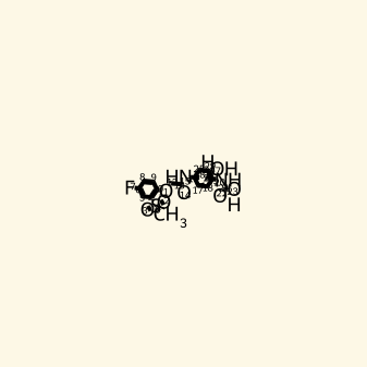 CS(=O)(=O)c1cc(F)ccc1OCC(=O)NC12CCC(NC(=O)O)(CC1)[C@@H](O)C2